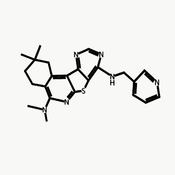 CN(C)c1nc2sc3c(NCc4cccnc4)ncnc3c2c2c1CCC(C)(C)C2